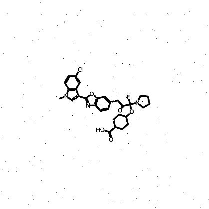 Cn1cc(-c2nc3ccc(CC(=O)C(F)(OC4CCC(C(=O)O)CC4)N4CCCC4)cc3o2)c2cc(Cl)ccc21